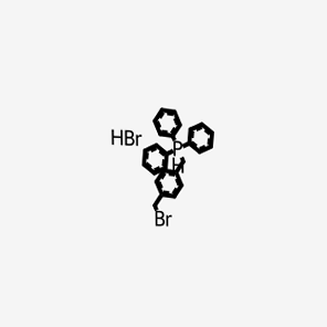 Br.BrCc1ccc(C[PH](c2ccccc2)(c2ccccc2)c2ccccc2)cc1